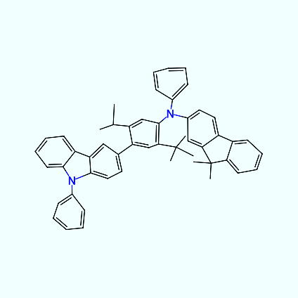 CC(C)c1cc(N(c2ccccc2)c2ccc3c(c2)C(C)(C)c2ccccc2-3)c(C(C)(C)C)cc1-c1ccc2c(c1)c1ccccc1n2-c1ccccc1